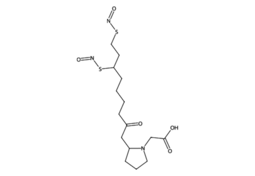 O=NSCCC(CCCCC(=O)CC1CCCN1CC(=O)O)SN=O